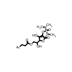 CC(=O)CCC(=O)OCC(O)C1OC(=O)C(OP(=O)(N(C)C)N(C)C)=C1O